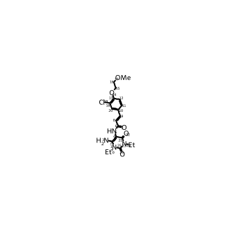 CCn1c(N)c(NC(=O)/C=C/c2ccc(OCCOC)c(Cl)c2)c(=O)n(CC)c1=O